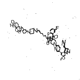 CCOc1cc(-c2ccc(N3CCC(NC(=O)c4cc(F)ccc4F)(C(=O)NCCCCCCN4CCN(c5ccc6c(c5)CN(C5CCC(=O)NC5=O)C6=O)CC4)CC3)nc2)c2c(C#N)cnn2c1